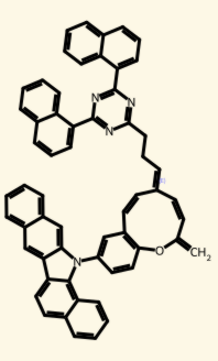 C=c1cc/c(=C/CCc2nc(-c3cccc4ccccc34)nc(-c3cccc4ccccc34)n2)ccc2cc(-n3c4cc5ccccc5cc4c4ccc5ccccc5c43)ccc2o1